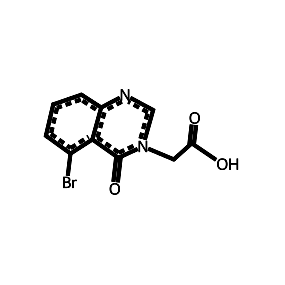 O=C(O)Cn1cnc2cccc(Br)c2c1=O